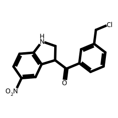 O=C(c1cccc(CCl)c1)C1CNc2ccc([N+](=O)[O-])cc21